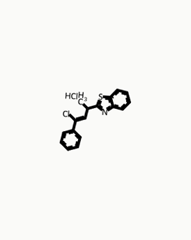 CC(C=C(Cl)c1ccccc1)c1nc2ccccc2s1.Cl